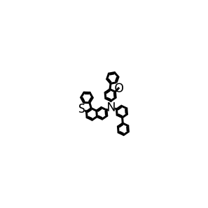 c1ccc(-c2cccc(N(c3ccc4c(c3)oc3ccccc34)c3ccc4ccc5sc6ccccc6c5c4c3)c2)cc1